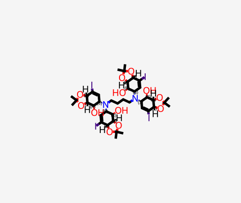 CC1(C)O[C@H]2[C@H](O)[C@@H](N(CCCCN([C@H]3C=C(I)[C@H]4OC(C)(C)O[C@H]4[C@@H]3O)[C@H]3C=C(I)[C@H]4OC(C)(C)O[C@H]4[C@@H]3O)[C@H]3C=C(I)[C@H]4OC(C)(C)O[C@H]4[C@@H]3O)C=C(I)[C@H]2O1